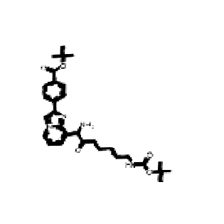 CC(C)(C)OC(=O)NCCCCCC(=O)C(N)c1cccn2cc(-c3ccc(C(=O)OC(C)(C)C)cc3)nc12